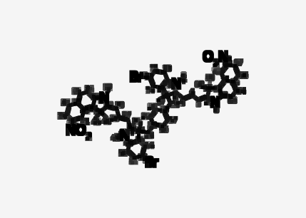 CN1/C(=C/C=C/C2=[N+](C)c3ccc(Br)cc3C2(C)Cc2ccc(CC3(C)C(/C=C/C=C4/N(C)c5ccc6ccc([N+](=O)[O-])cc6c5C4(C)C)=[N+](C)c4ccc(Br)cc43)cc2)C(C)(C)c2c1ccc1ccc([N+](=O)[O-])cc21